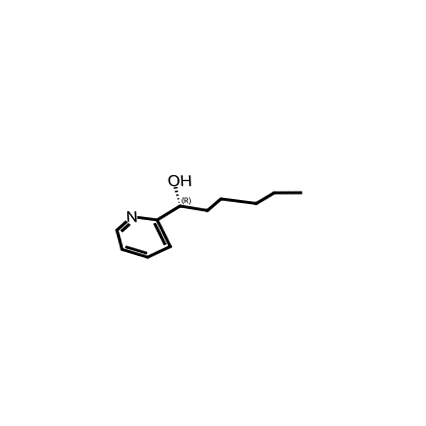 CCCCC[C@@H](O)c1ccccn1